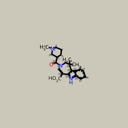 CN1CCCC(C(=O)N2C=C(C(=O)O)c3[nH]c4ccccc4c3C(C)(C)C2)C1